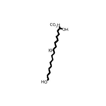 O=C(O)C(O)CCCCCCCCCCCCCCCCO.[KH]